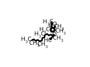 C#C[C@@](C)(CCCC(C)CCCC(C)CCCC(C)C)Oc1cc(C)c(OC(C)=O)c(C)c1C